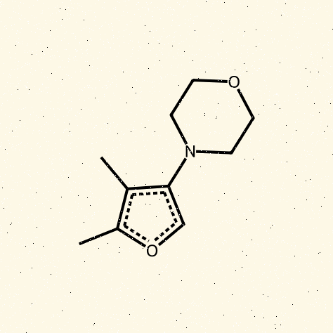 Cc1occ(N2CCOCC2)c1C